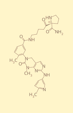 Cc1ccc(Nc2ncc3c(n2)N(C)C(=O)N(c2cc(C(=O)NCCCCC(=O)[C@]4(C(N)=O)CCCN4)ccc2C)C3)cn1